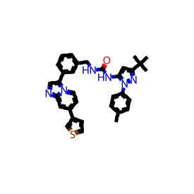 Cc1ccc(-n2nc(C(C)(C)C)cc2NC(=O)NCc2cccc(-c3cnc4cc(-c5ccsc5)ccn34)c2)cc1